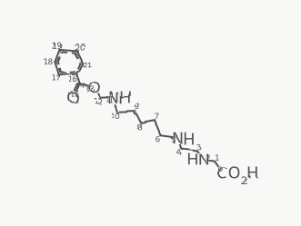 O=C(O)CNCCNCCCCCNCOC(=O)c1ccccc1